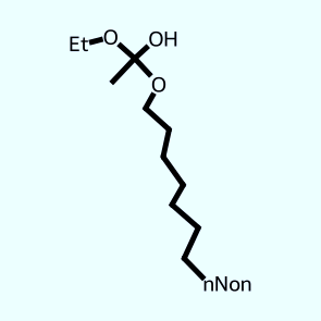 CCCCCCCCCCCCCCCCOC(C)(O)OCC